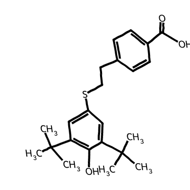 CC(C)(C)c1cc(SCCc2ccc(C(=O)O)cc2)cc(C(C)(C)C)c1O